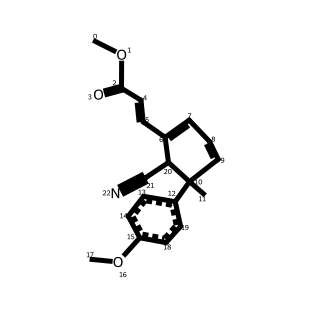 COC(=O)C=CC1=CC=CC(C)(c2ccc(OC)cc2)C1C#N